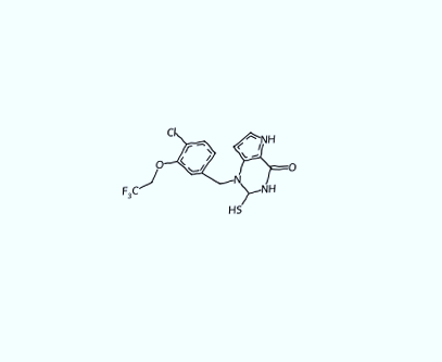 O=C1NC(S)N(Cc2ccc(Cl)c(OCC(F)(F)F)c2)c2cc[nH]c21